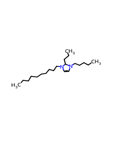 CCCCCCCCCCN1C=CN(CCCCC)C1CCC